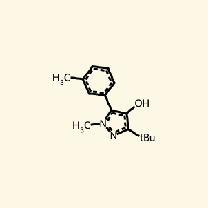 Cc1cccc(-c2c(O)c(C(C)(C)C)nn2C)c1